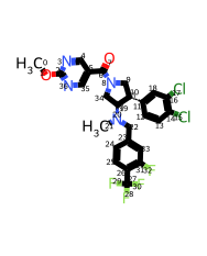 COc1ncc(C(=O)N2C[C@H](c3ccc(Cl)c(Cl)c3)[C@@H](N(C)Cc3ccc(C(F)(F)F)c(F)c3)C2)cn1